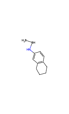 BBNc1ccc2c(c1)CCCC2